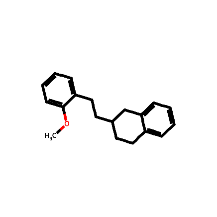 COc1ccccc1CCC1CCc2ccccc2C1